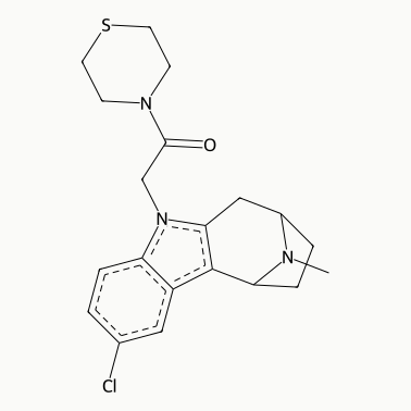 CN1C2CCC1c1c(n(CC(=O)N3CCSCC3)c3ccc(Cl)cc13)C2